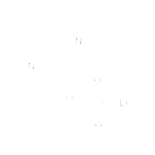 CCS(=O)(=O)Oc1cnccn1